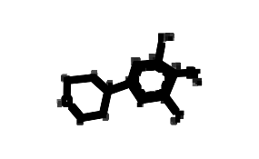 Fc1cc(C2C[CH]OCC2)cc(F)c1Br